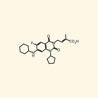 C/C(=C\Cn1c(=O)c2cc(F)c(NC3CCCCC3)cc2n(C2CCCC2)c1=O)C(=O)O